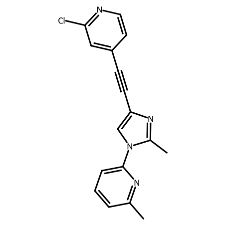 Cc1cccc(-n2cc(C#Cc3ccnc(Cl)c3)nc2C)n1